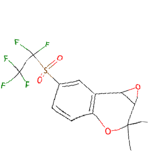 CC1(C)Oc2ccc(S(=O)(=O)C(F)(F)C(F)(F)F)cc2C2OC21